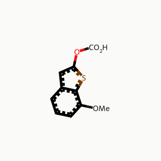 COc1cccc2cc(OC(=O)O)sc12